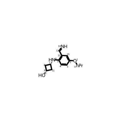 CCCOc1ccc(N[C@H]2C[C@@H](O)C2)c(C=N)c1